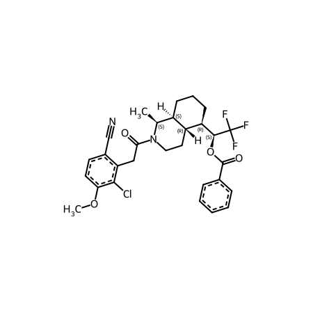 COc1ccc(C#N)c(CC(=O)N2CC[C@H]3[C@H]([C@H](OC(=O)c4ccccc4)C(F)(F)F)CCC[C@@H]3[C@@H]2C)c1Cl